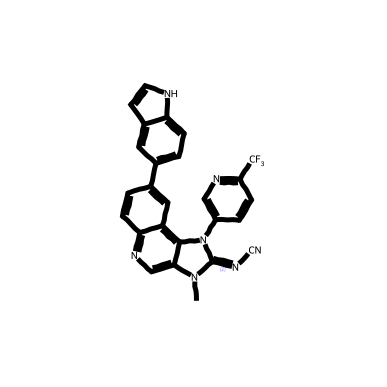 Cn1/c(=N/C#N)n(-c2ccc(C(F)(F)F)nc2)c2c3cc(-c4ccc5[nH]ccc5c4)ccc3ncc21